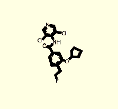 O=C(Nc1c(Cl)cncc1Cl)c1ccc(CCF)c(OC2CCCC2)c1